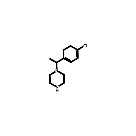 CC(C1=CC=C(Cl)CC1)N1CCNCC1